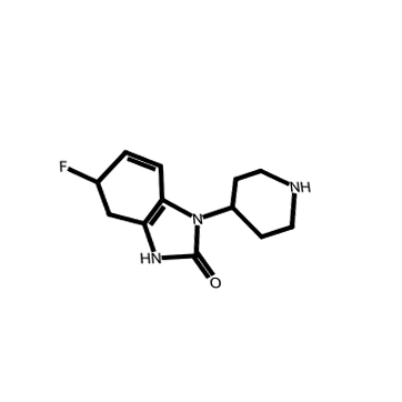 O=c1[nH]c2c(n1C1CCNCC1)C=CC(F)C2